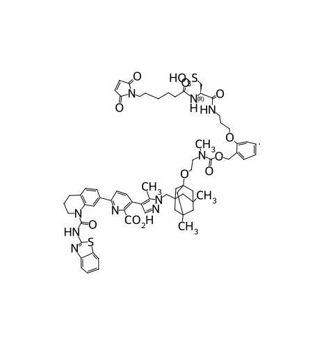 Cc1c(-c2ccc(-c3ccc4c(c3)N(C(=O)Nc3nc5ccccc5s3)CCC4)nc2C(=O)O)cnn1CC12CC3(C)CC(C)(C1)CC(OCCN(C)C(=O)OCc1cc[c]cc1OCCCNC(=O)[C@H](CS(=O)(=O)O)NC(=O)CCCCCN1C(=O)C=CC1=O)(C3)C2